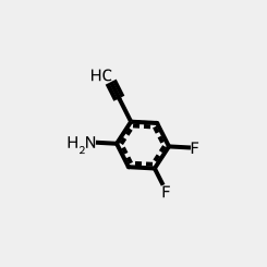 C#Cc1cc(F)c(F)cc1N